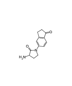 NC1CCN(c2ccc3c(c2)CCC3=O)C1=O